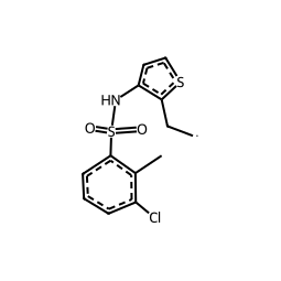 [CH2]Cc1sccc1NS(=O)(=O)c1cccc(Cl)c1C